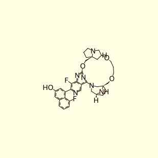 Oc1cc(-c2ncc3c4nc(nc3c2F)OC[C@@]23CCCN2C[C@H](C3)OCCCOC[C@]23CC[C@H](CN4C2)N3)c2c(F)cccc2c1